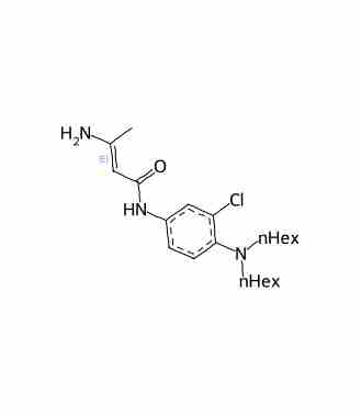 CCCCCCN(CCCCCC)c1ccc(NC(=O)/C=C(\C)N)cc1Cl